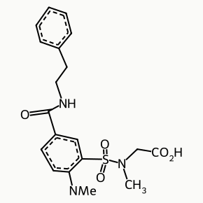 CNc1ccc(C(=O)NCCc2ccccc2)cc1S(=O)(=O)N(C)CC(=O)O